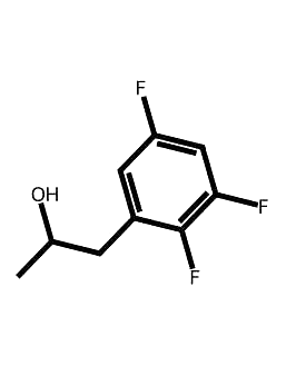 CC(O)Cc1cc(F)cc(F)c1F